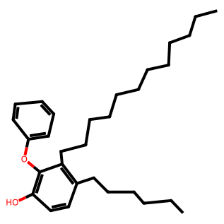 CCCCCCCCCCCCc1c(CCCCCC)ccc(O)c1Oc1ccccc1